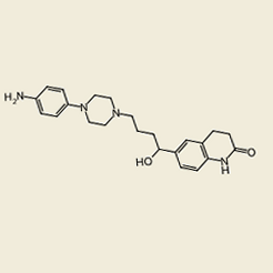 Nc1ccc(N2CCN(CCCC(O)c3ccc4c(c3)CCC(=O)N4)CC2)cc1